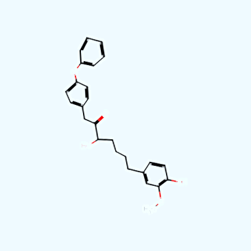 COc1cc(CCCCC(O)C(=O)Cc2ccc(Oc3ccccc3)cc2)ccc1O